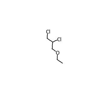 CCOCC(Cl)CCl